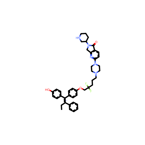 CC/C(=C(\c1ccc(O)cc1)c1ccc(OCC(F)(F)CCCN2CCN(c3ccc4c(n3)CN(C3CCCNC3)C4=O)CC2)cc1)c1ccccc1